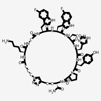 NCCCC[C@@H]1NC(=O)CCCn2cc(nn2)CC[C@@H](C(N)=O)NC(=O)[C@@H]2CCCN2C(=O)[C@H](Cc2ccc(O)cc2)NC(=O)[C@H](Cc2c[nH]cn2)NC(=O)[C@H](CC(=O)O)NC(=O)[C@H](Cc2c[nH]c3ccc(F)cc23)NC(=O)[C@H](Cc2c[nH]c3ccc(F)cc23)NC(=O)CNC1=O